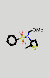 COCN(c1ccsc1C)S(=O)(=O)c1ccccc1